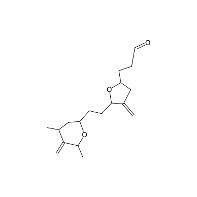 C=C1C(C)CC(CCC2OC(CCC=O)CC2=C)OC1C